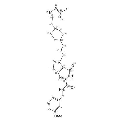 COc1cccc(CNC(=O)c2nc3scc(COCC4CCN(Cc5nnc(C)o5)CC4)c3c(=O)[nH]2)c1